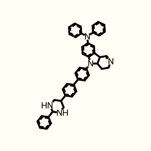 C1=NCCC2C1c1cc(N(c3ccccc3)c3ccccc3)ccc1N2c1ccc(-c2ccc(C3CNC(c4ccccc4)NC3)cc2)cc1